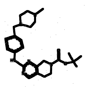 CN1CCN(Cc2ccc(Nc3ncc4c(n3)CN(C(=O)OC(C)(C)C)CC4)cc2)CC1